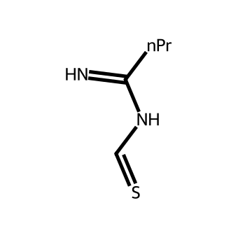 CCCC(=N)NC=S